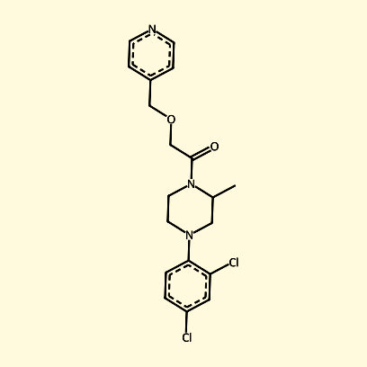 CC1CN(c2ccc(Cl)cc2Cl)CCN1C(=O)COCc1ccncc1